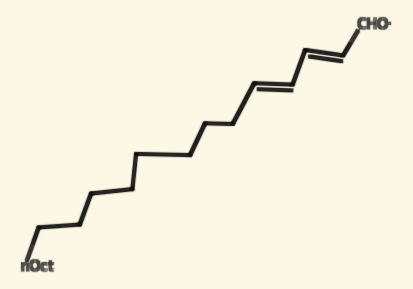 CCCCCCCCCCCCCCCCC=CC=C[C]=O